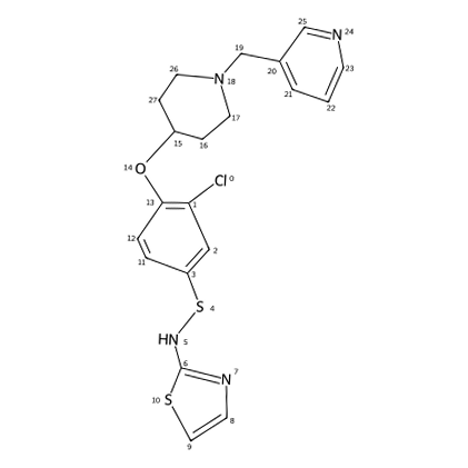 Clc1cc(SNc2nccs2)ccc1OC1CCN(Cc2cccnc2)CC1